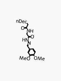 CCCCCCCCCCCC(=O)NCC(=O)N/N=C/c1ccc(OC)c(OC)c1